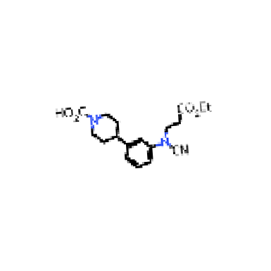 CCOC(=O)CCN(C#N)c1cccc(C2CCN(C(=O)O)CC2)c1